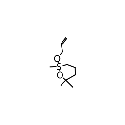 C=CCO[Si]1(C)CCCC(C)(C)O1